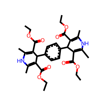 CCOC(=O)C1=C(C)NC(C)=C(C(=O)OCC)C1c1ccc(C2C(C(=O)OCC)=C(C)NC(C)=C2C(=O)OCC)cc1